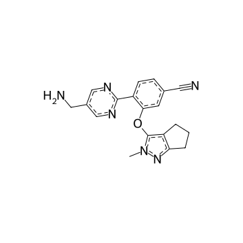 Cn1nc2c(c1Oc1cc(C#N)ccc1-c1ncc(CN)cn1)CCC2